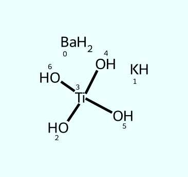 [BaH2].[KH].[OH][Ti]([OH])([OH])[OH]